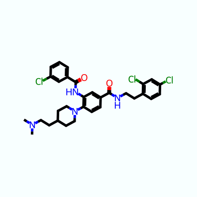 CN(C)CCC1CCN(c2ccc(C(=O)NCCc3ccc(Cl)cc3Cl)cc2NC(=O)c2cccc(Cl)c2)CC1